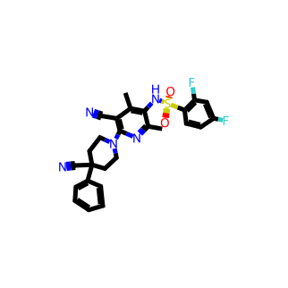 Cc1nc(N2CCC(C#N)(c3ccccc3)CC2)c(C#N)c(C)c1NS(=O)(=O)c1ccc(F)cc1F